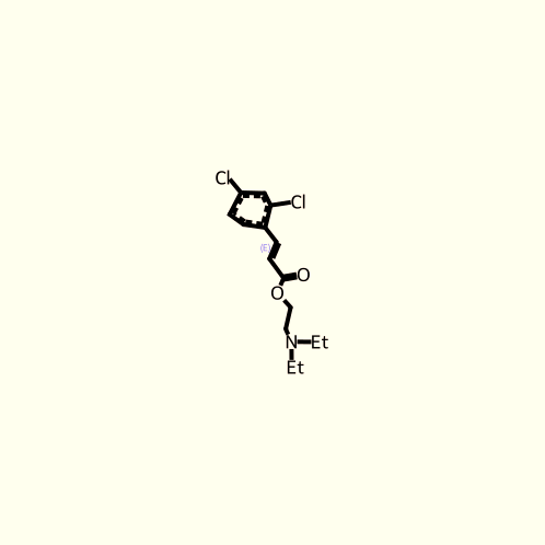 CCN(CC)CCOC(=O)/C=C/c1ccc(Cl)cc1Cl